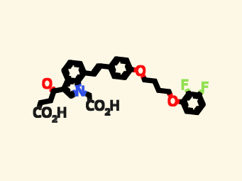 O=C(O)CCC(=O)c1cn(CC(=O)O)c2c(C=Cc3ccc(OCCCCOc4cccc(F)c4F)cc3)cccc12